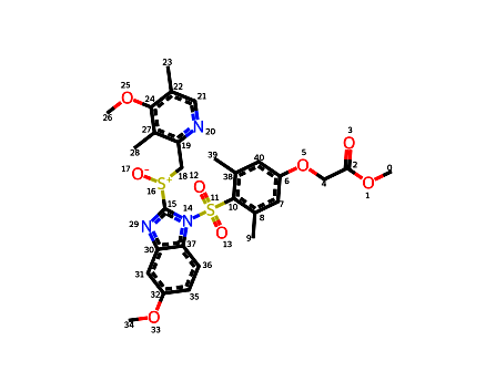 COC(=O)COc1cc(C)c(S(=O)(=O)n2c([S+]([O-])Cc3ncc(C)c(OC)c3C)nc3cc(OC)ccc32)c(C)c1